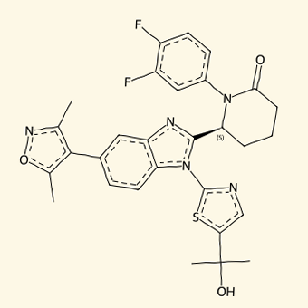 Cc1noc(C)c1-c1ccc2c(c1)nc([C@@H]1CCCC(=O)N1c1ccc(F)c(F)c1)n2-c1ncc(C(C)(C)O)s1